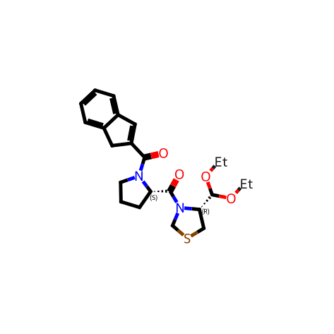 CCOC(OCC)[C@@H]1CSCN1C(=O)[C@@H]1CCCN1C(=O)C1=Cc2ccccc2C1